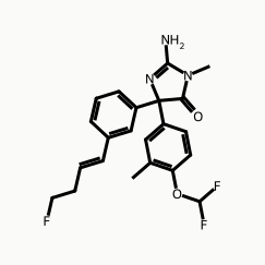 Cc1cc(C2(c3cccc(/C=C/CCF)c3)N=C(N)N(C)C2=O)ccc1OC(F)F